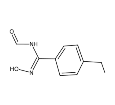 CCc1ccc(/C(=N/O)NC=O)cc1